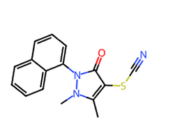 Cc1c(SC#N)c(=O)n(-c2cccc3ccccc23)n1C